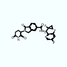 O=C1CCC(N2Cc3cc(C(=O)N[C@H](c4ncc(F)cc4F)C4(F)CC4)ccc3C2=O)C(=O)N1